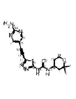 CC1(C)CC(NC(=O)Nc2nnc(C#Cc3cnc(N)nc3)s2)CCO1